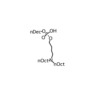 CCCCCCCCCCOP(=O)(O)OCCCCN(CCCCCCCC)CCCCCCCC